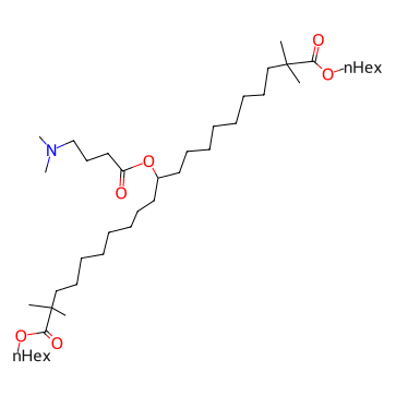 CCCCCCOC(=O)C(C)(C)CCCCCCCCC(CCCCCCCCC(C)(C)C(=O)OCCCCCC)OC(=O)CCCN(C)C